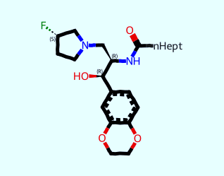 CCCCCCCC(=O)N[C@H](CN1CC[C@H](F)C1)[C@H](O)c1ccc2c(c1)OCCO2